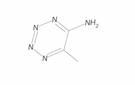 Cc1nnnnc1N